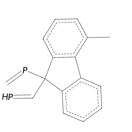 C=PC1(C=P)c2ccccc2-c2c(C)cccc21